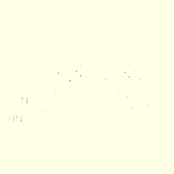 O=C(NS(=O)(=O)c1ccc(OC[C@@H]2COCCO2)c([N+](=O)[O-])c1)c1ccccc1Oc1cnc2[nH]ccc2c1